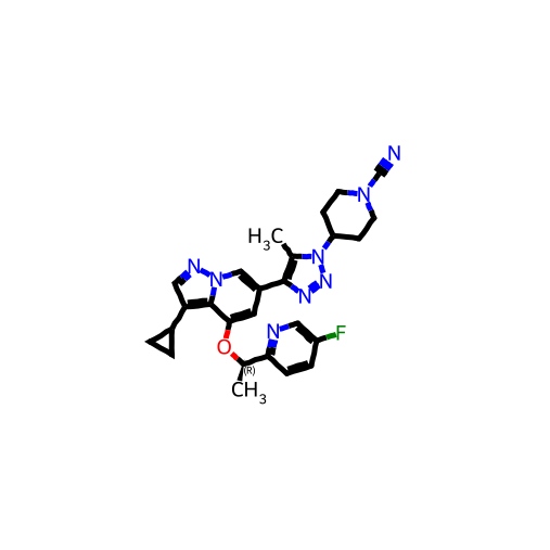 Cc1c(-c2cc(O[C@H](C)c3ccc(F)cn3)c3c(C4CC4)cnn3c2)nnn1C1CCN(C#N)CC1